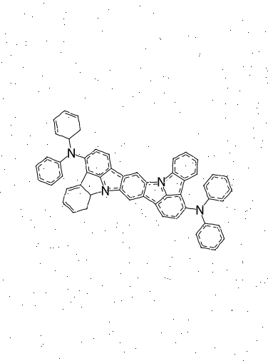 C1=CCC(N(c2ccccc2)c2ccc3c4cc5c(cc4n4c3c2C2=CC=CCC24)c2ccc(N(c3ccccc3)c3ccccc3)c3c4ccccc4n5c23)C=C1